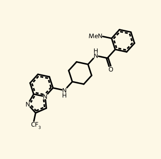 CNc1ccccc1C(=O)NC1CCC(Nc2cccc3nc(C(F)(F)F)cn23)CC1